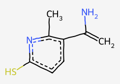 C=C(N)c1ccc(S)nc1C